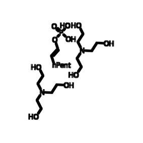 CCCCCC=COP(=O)(O)O.OCCN(CCO)CCO.OCCN(CCO)CCO